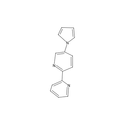 c1ccc(-c2ccc(-n3cccc3)cn2)nc1